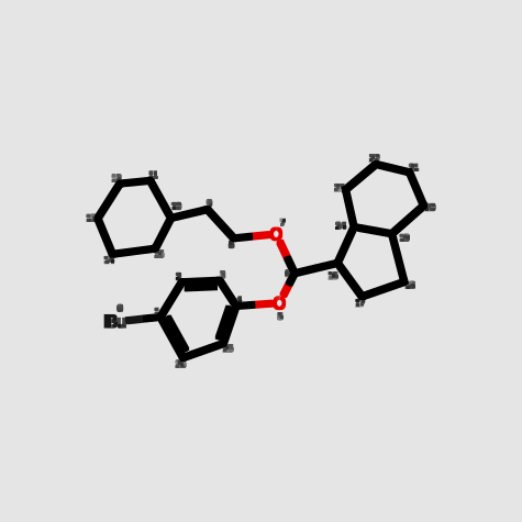 CCC(C)c1ccc(OC(OCCC2CCCCC2)C2CCC3CCCCC32)cc1